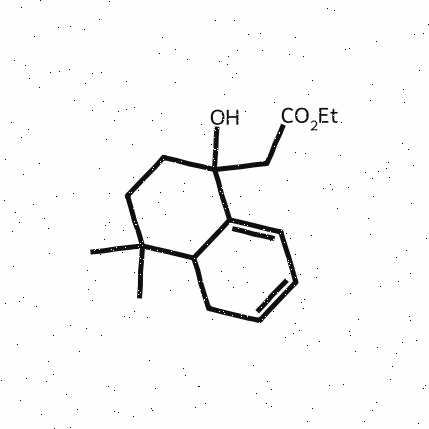 CCOC(=O)CC1(O)CCC(C)(C)C2CC=CC=C21